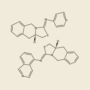 c1ccc2c(c1)C[C@H]1CSC(=Nc3cccc4cnccc34)N1C2.c1ccc2c(c1)C[C@H]1CSC(=Nc3ccncc3)N1C2